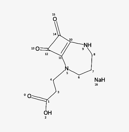 O=C(O)CCN1CCCNc2c1c(=O)c2=O.[NaH]